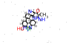 CC(C=N)C(=O)c1cnc2ccc(-c3ccc(O)c(Cl)c3)cc2c1N[C@H]1CC[C@H](N)CC1